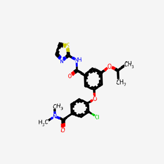 CC(C)Oc1cc(Oc2ccc(C(=O)N(C)C)cc2Cl)cc(C(=O)Nc2nccs2)c1